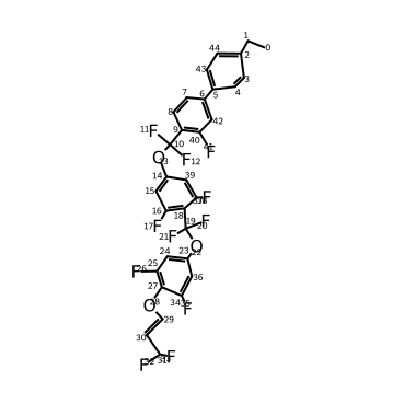 CCc1ccc(-c2ccc(C(F)(F)Oc3cc(F)c(C(F)(F)Oc4cc(F)c(O/C=C/C(F)F)c(F)c4)c(F)c3)c(F)c2)cc1